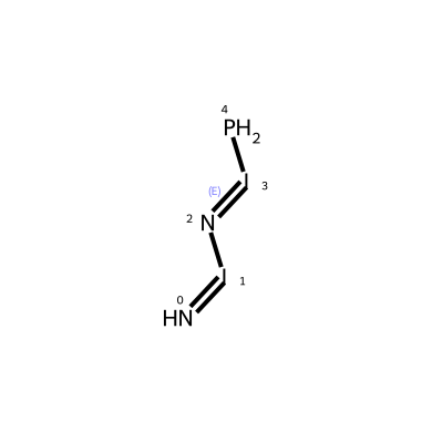 N=I/N=I/P